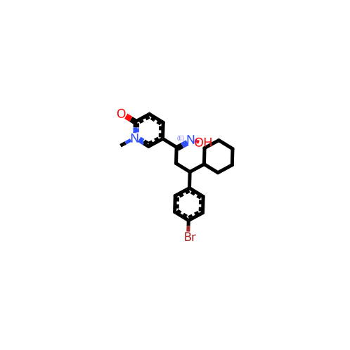 Cn1cc(/C(CC(c2ccc(Br)cc2)C2CCCCC2)=N/O)ccc1=O